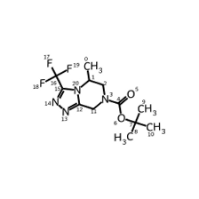 CC1CN(C(=O)OC(C)(C)C)Cc2nnc(C(F)(F)F)n21